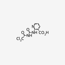 O=C(NC(=O)C(Cl)(Cl)Cl)Nc1ncccc1C(=O)O